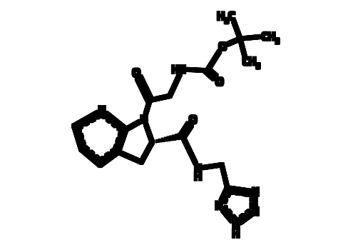 CC(C)(C)OC(=O)NCC(=O)N1c2ncccc2C[C@H]1C(=O)NCc1nn[nH]n1